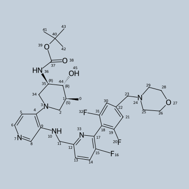 C[C@H]1CN(c2ccncc2NCc2ccc(F)c(-c3c(F)cc(CN4CCOCC4)cc3F)n2)C[C@@H](NC(=O)OC(C)(C)C)[C@@H]1O